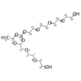 CC(OCCOCCOCCO)OC(=O)OCCOCCOCCOCCO